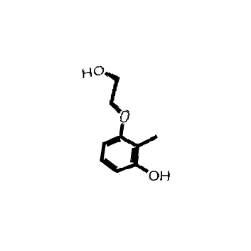 Cc1c(O)cccc1OCCO